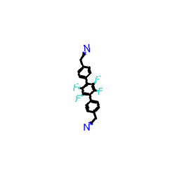 N#CCc1ccc(-c2c(F)c(F)c(-c3ccc(CC#N)cc3)c(F)c2F)cc1